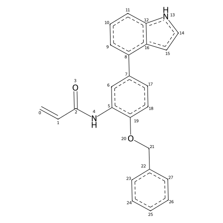 C=CC(=O)Nc1cc(-c2cccc3[nH]ccc23)ccc1OCc1ccccc1